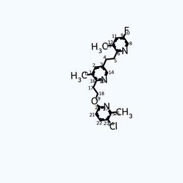 Cc1cc(CCc2ncc(F)cc2C)cnc1CCOc1ccc(Cl)c(C)n1